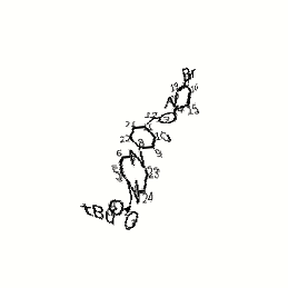 CC(C)(C)OC(=O)N1CCN([C@H]2CC[C@H](COc3ccc(Br)cn3)CC2)CC1